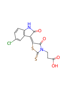 O=C(O)CCN1C(=O)C(=C2C(=O)Nc3ccc(Cl)cc32)SC1=S